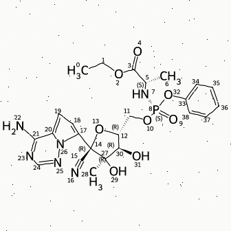 CCOC(=O)[C@H](C)N[P@](=O)(OC[C@H]1O[C@@](C#N)(c2ccc3c(N)ncnn23)[C@](C)(O)[C@@H]1O)Oc1ccccc1